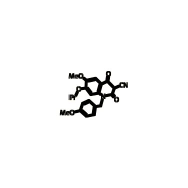 COc1ccc(CN2C(=O)C(C#N)C(=O)c3cc(OC)c(OC(C)C)cc32)cc1